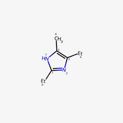 CCc1nc(CC)c(C)[nH]1